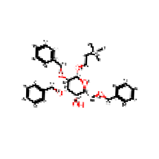 C[Si](C)(C)CCO[C@@H]1O[C@H](COCc2ccccc2)[C@@H](O)[C@H](OCc2ccccc2)[C@H]1OCc1ccccc1